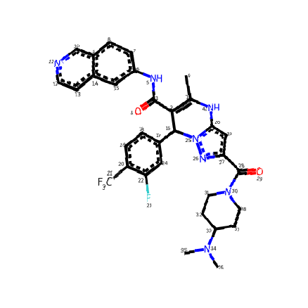 CC1=C(C(=O)Nc2ccc3cnccc3c2)C(c2ccc(C(F)(F)F)c(F)c2)n2nc(C(=O)N3CCC(N(C)C)CC3)cc2N1